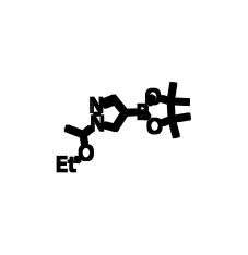 CCOC(C)N1CC(B2OC(C)(C)C(C)(C)O2)C=N1